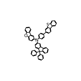 c1ccc(C2(c3ccccc3)c3ccccc3-c3cc(N(c4ccc(-c5ccc6c(c5)sc5ccccc56)cc4)c4ccc5oc6ccccc6c5c4)ccc32)cc1